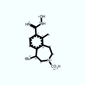 Cc1c(C(=N)NO)ccc2c1CCN(C(=O)O)CC2C(C)(C)C